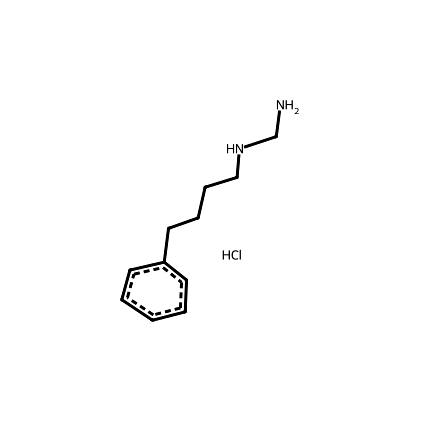 Cl.NCNCCCCc1ccccc1